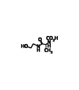 CC(NC(=O)O)C(=O)NCCO